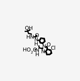 CC(NC(=O)O)c1nc2cccc(Cl)c2c(=O)n1-c1cccc(NC(=O)NCCC(C)(C)O)c1